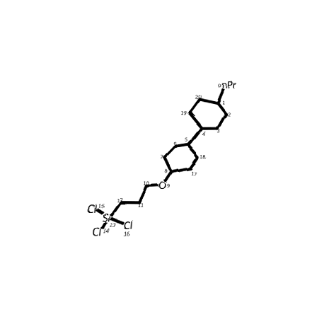 CCCC1CCC(C2CCC(OCCC[Si](Cl)(Cl)Cl)CC2)CC1